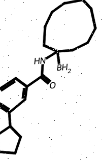 BC1(NC(=O)c2ccnc(C3CCCC3)c2)CCCCCCCCC1